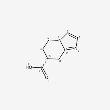 O=C(O)[C@@H]1CCn2ccnc2C1